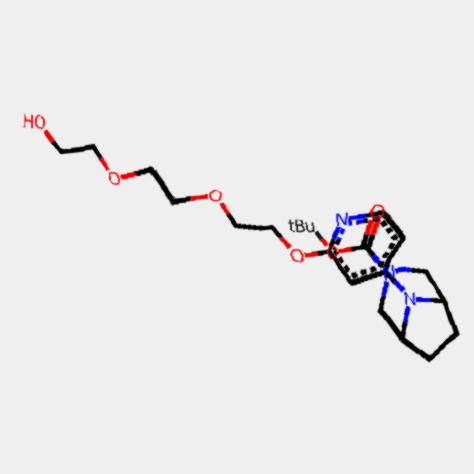 CC(C)(C)OC(=O)N1CC2CCC(C1)N2c1ccnc(OCCOCCOCCO)c1